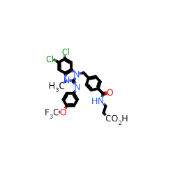 Cn1c(=Nc2ccc(OC(F)(F)F)cc2)n(Cc2ccc(C(=O)NCCC(=O)O)cc2)c2cc(Cl)c(Cl)cc21